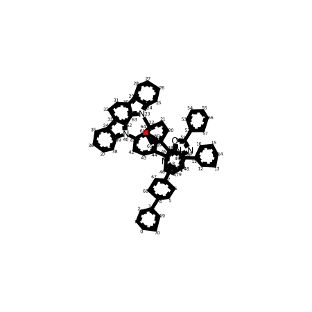 c1ccc(-c2ccc(-c3nc(-c4ccccc4)nc(-c4ccc(-n5c6ccccc6c6ccc7c8ccccc8n(-c8ccc(-c9cccc%10nc(-c%11ccccc%11)oc9%10)cc8)c7c65)cc4)n3)cc2)cc1